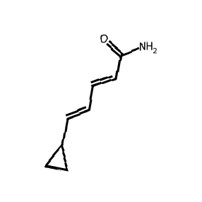 NC(=O)C=CC=CC1CC1